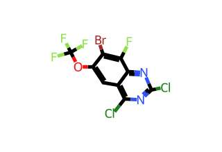 Fc1c(Br)c(OC(F)(F)F)cc2c(Cl)nc(Cl)nc12